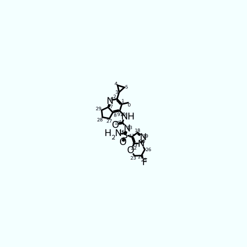 Cc1c(C2CC2)nc2c(c1NC(=O)N=S(N)(=O)c1cnn3c1OCC(F)C3)CCC2